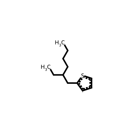 CCCCC(CC)Cc1[c]ccs1